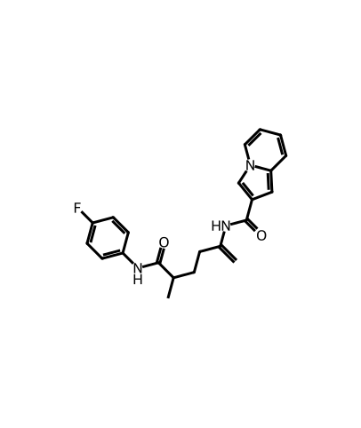 C=C(CCC(C)C(=O)Nc1ccc(F)cc1)NC(=O)c1cc2ccccn2c1